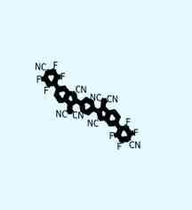 N#CC(C#N)=C1C(c2ccc(C3=C(C#N)c4cc(-c5c(F)c(F)c(C#N)c(F)c5F)ccc4C3=C(C#N)C#N)cc2)=C(C#N)c2cc(-c3c(F)c(F)c(C#N)c(F)c3F)ccc21